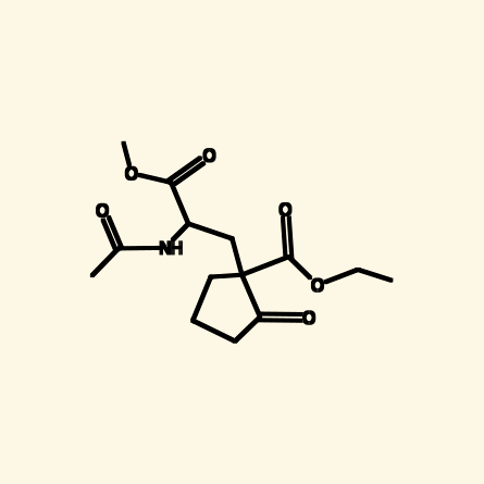 CCOC(=O)C1(CC(NC(C)=O)C(=O)OC)CCCC1=O